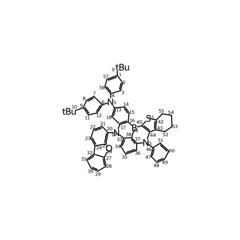 CC(C)(C)c1ccc(N(c2ccc(C(C)(C)C)cc2)c2ccc3c(c2)N(c2cccc4c2oc2ccccc24)c2cccc4c2B3c2sc3c(c2N4c2ccccc2)CCCC3)cc1